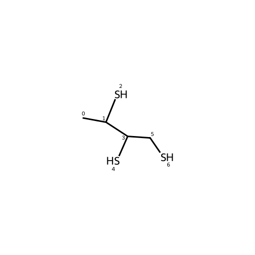 CC(S)C(S)CS